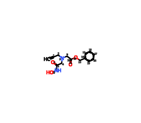 C#CCN(CC(=O)NO)CC(=O)OCc1ccccc1